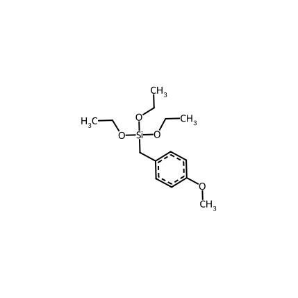 CCO[Si](Cc1ccc(OC)cc1)(OCC)OCC